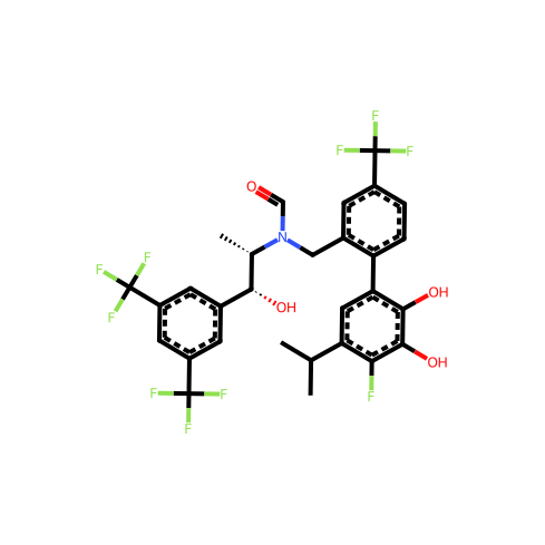 CC(C)c1cc(-c2ccc(C(F)(F)F)cc2CN(C=O)[C@@H](C)[C@H](O)c2cc(C(F)(F)F)cc(C(F)(F)F)c2)c(O)c(O)c1F